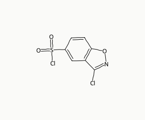 O=S(=O)(Cl)c1ccc2onc(Cl)c2c1